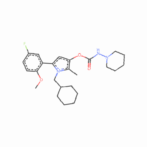 COc1ccc(F)cc1-c1cc(OC(=O)NN2CCCCC2)c(C)n1CC1CCCCC1